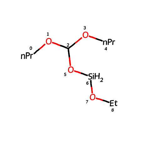 CCCOC(OCCC)O[SiH2]OCC